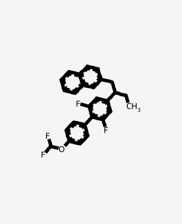 CCC(Cc1ccc2ccccc2c1)c1cc(F)c(-c2ccc(OC(F)F)cc2)c(F)c1